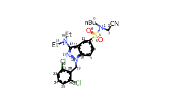 CCCCN(CC#N)S(=O)(=O)c1ccc2c(c1)c(N(CC)CC)nn2Cc1c(Cl)cccc1Cl